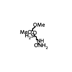 COCCC(OC)O[SiH2]CCNC(N)=O